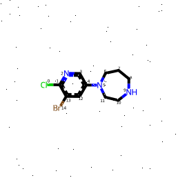 Clc1ncc(N2CCCNCC2)cc1Br